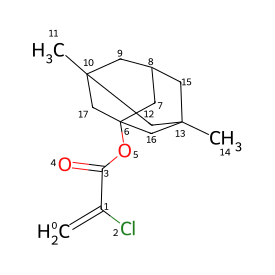 C=C(Cl)C(=O)OC12CC3CC(C)(CC(C)(C3)C1)C2